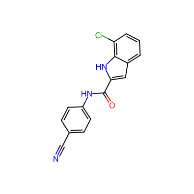 N#Cc1ccc(NC(=O)c2cc3cccc(Cl)c3[nH]2)cc1